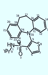 CCCNS(=O)(=O)c1ccsc1N1c2ccccc2CCc2ccccc21